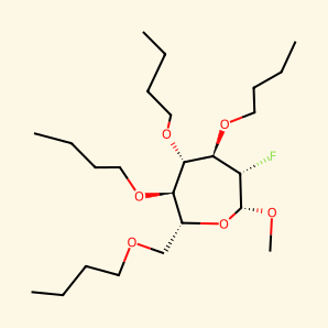 CCCCOC[C@H]1O[C@@H](OC)[C@@H](F)[C@H](OCCCC)[C@@H](OCCCC)[C@@H]1OCCCC